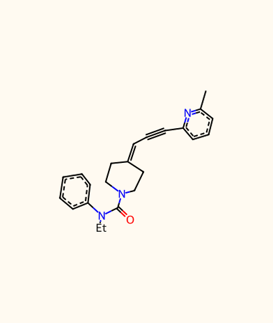 CCN(C(=O)N1CCC(=CC#Cc2cccc(C)n2)CC1)c1ccccc1